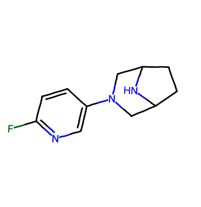 Fc1ccc(N2CC3CCC(C2)N3)cn1